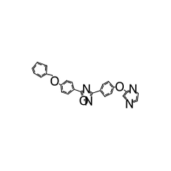 c1ccc(COc2ccc(-c3nc(-c4ccc(Oc5cnccn5)cc4)no3)cc2)cc1